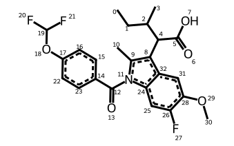 CCC(C)C(C(=O)O)c1c(C)n(C(=O)c2ccc(OC(F)F)cc2)c2cc(F)c(OC)cc12